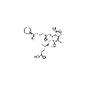 COc1c(C)c2c(c(CC(=O)CCCC(=O)N3CCCCC3)c1C/C=C(\C)CCC(=O)O)C(=O)OC2